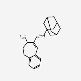 CC1CCc2ccccc2C=C1/C=N/C12CC3CC(CC(C3)C1)C2